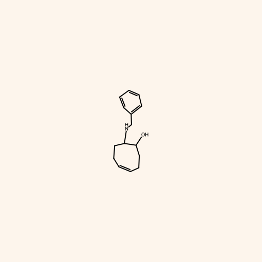 OC1CCC=CCCC1NCc1ccccc1